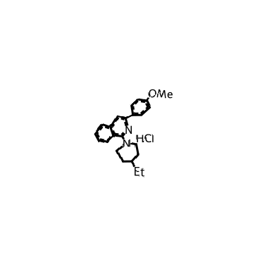 CCC1CCN(c2nc(-c3ccc(OC)cc3)cc3ccccc23)CC1.Cl